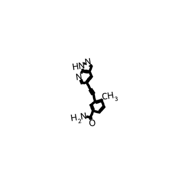 Cc1ccc(C(N)=O)cc1C#Cc1cnc2[nH]ncc2c1